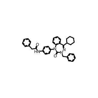 O=C(Cc1ccccc1)Nc1ccc(N2C(=O)N(Cc3ccccc3)N=C(C3CCCCC3)c3ccccc32)cc1